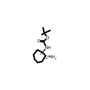 CC(C)(C)OC(=O)N[C@@H]1CCCCC[C@H]1N